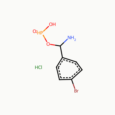 Cl.NC(O[PH](=O)O)c1ccc(Br)cc1